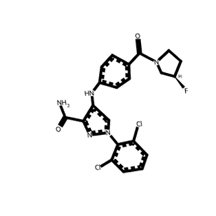 NC(=O)c1nn(-c2c(Cl)cccc2Cl)cc1Nc1ccc(C(=O)N2CC[C@@H](F)C2)cc1